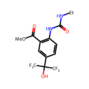 CCNC(=O)Nc1ccc(C(O)(C(F)(F)F)C(F)(F)F)cc1C(=O)OC